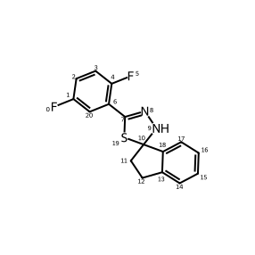 Fc1ccc(F)c(C2=NNC3(CCc4ccccc43)S2)c1